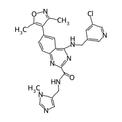 Cc1noc(C)c1-c1ccc2nc(C(=O)NCc3cncn3C)nc(NCc3cncc(Cl)c3)c2c1